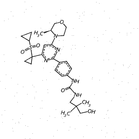 C[C@H]1COCCN1c1cc(C2(S(=O)(=O)C3CC3)CC2)nc(-c2ccc(NC(=O)NCC(C)(C)CO)cc2)n1